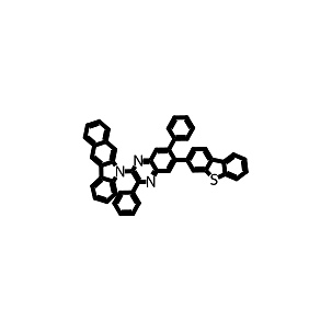 c1ccc(-c2cc3nc(-n4c5ccccc5c5cc6ccccc6cc54)c(-c4ccccc4)nc3cc2-c2ccc3c(c2)sc2ccccc23)cc1